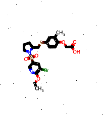 CCOc1ncc(S(=O)(=O)N2CCCC2CSc2ccc(OCC(=O)O)c(C)c2)cc1Br